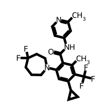 Cc1cc(NC(=O)c2c(N3CCCC(F)(F)CC3)cc(C3CC3)c(C(F)(F)F)c2C)ccn1